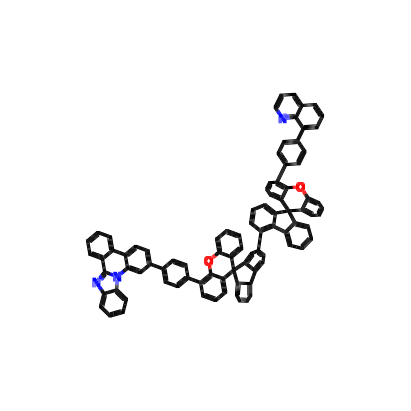 c1ccc2c(c1)Oc1c(-c3ccc(-c4ccc5c6ccccc6c6nc7ccccc7n6c5c4)cc3)cccc1C21c2ccccc2-c2ccc(-c3cccc4c3-c3ccccc3C43c4ccccc4Oc4c(-c5ccc(-c6cccc7cccnc67)cc5)cccc43)cc21